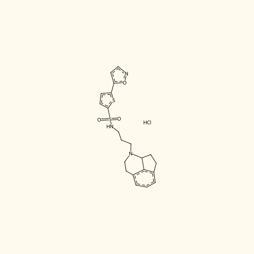 Cl.O=S(=O)(NCCCN1CCc2cccc3c2C1CC3)c1ccc(-c2ccno2)s1